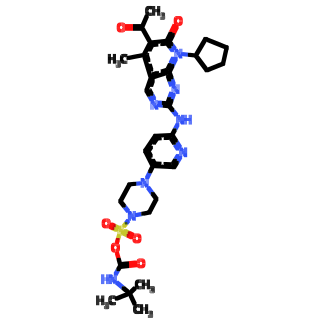 CC(=O)c1c(C)c2cnc(Nc3ccc(N4CCN(S(=O)(=O)OC(=O)NC(C)(C)C)CC4)cn3)nc2n(C2CCCC2)c1=O